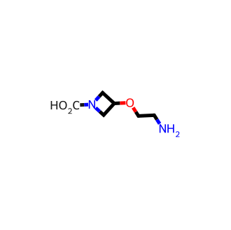 NCCOC1CN(C(=O)O)C1